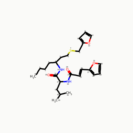 CCCCC(CCSCc1ccco1)NC(=O)C(CC(C)C)NC(=O)C=Cc1ccco1